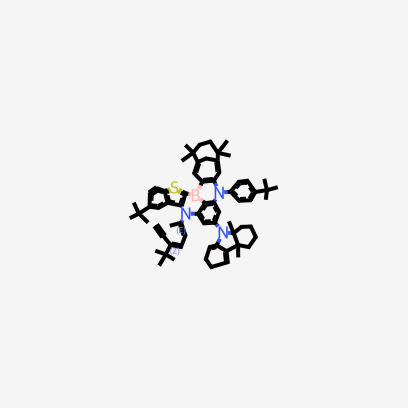 C#C/C(=C\C=C(/C)N1c2cc(N3C4=CCCC=C4C4(C)CCCCC34C)cc3c2B(C2=C(C=C4CC(=C2)C(C)(C)CCC4(C)C)N3c2ccc(C(C)(C)C)cc2)c2sc3c#cc(C(C)(C)C)cc3c21)C(C)(C)C